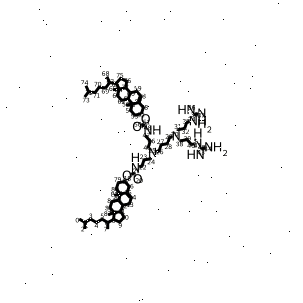 CC(C)CCCC(C)C1CCC2C3CC=C4CC(OC(=O)NCCCN(CCCCN(CCCNC(=N)N)CCCNC(=N)N)CCCNC(=O)OC5CCC6(C)C(=CCC7C6CCC6(C)C(C(C)CCCC(C)C)CCC76)C5)CCC4(C)C3CCC12C